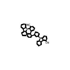 N#Cc1cccc(-c2ccccc2-c2cccc(-n3c4ccccc4c4c(C#N)cccc43)c2)c1-n1c2ccccc2c2ccccc21